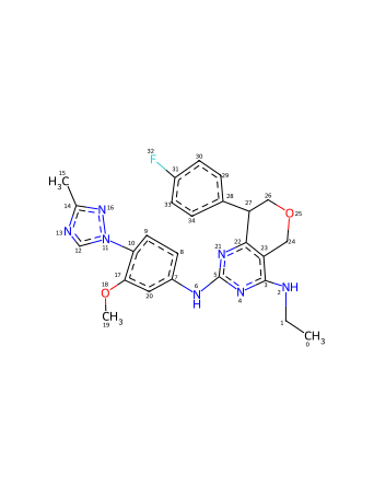 CCNc1nc(Nc2ccc(-n3cnc(C)n3)c(OC)c2)nc2c1COCC2c1ccc(F)cc1